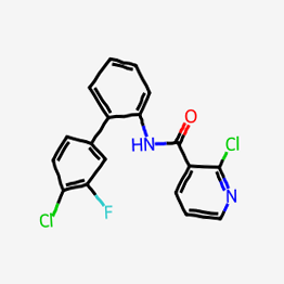 O=C(Nc1ccccc1-c1ccc(Cl)c(F)c1)c1cccnc1Cl